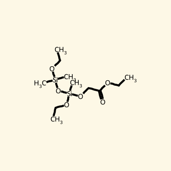 CCOC(=O)CO[Si](C)(OCC)O[Si](C)(C)OCC